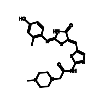 Cc1cc(O)ccc1N=C1NC(=O)C(=Cc2cnc(NC(=O)CN3CCN(C)CC3)s2)S1